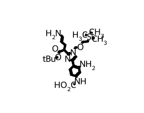 CC(C)(C)OC(=O)C(CC=CN)c1nc(-c2ccc(NC(=O)O)cc2N)cn1COCC[Si](C)(C)C